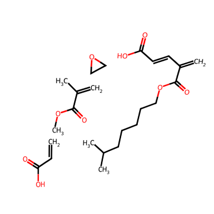 C1CO1.C=C(C)C(=O)OC.C=C(C=CC(=O)O)C(=O)OCCCCCC(C)C.C=CC(=O)O